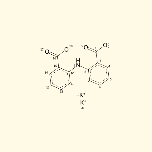 O=C([O-])c1ccccc1Nc1ccccc1C(=O)[O-].[K+].[K+]